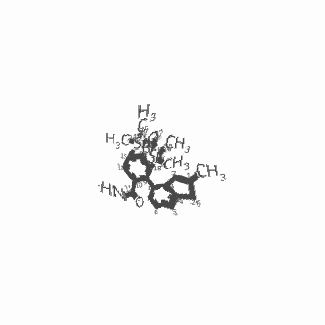 CC1=Cc2c(cccc2-c2c(C([NH])=O)cc3c(Br)c2[Si](C)(C)O[Si]3(C)C)C1